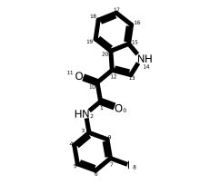 O=C(Nc1cccc(I)c1)C(=O)c1c[nH]c2ccccc12